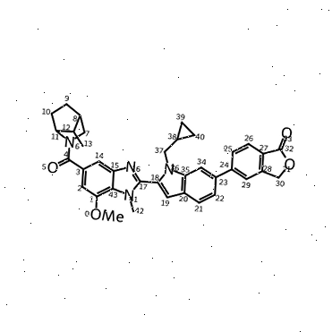 COc1cc(C(=O)N2CC3CCC2C3C)cc2nc(-c3cc4ccc(-c5ccc6c(c5)COC6=O)cc4n3CC3CC3)n(C)c12